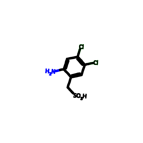 Nc1cc(Cl)c(Cl)cc1CS(=O)(=O)O